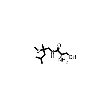 CSC(C)(CNC(=O)[C@H](N)CO)CC(C)C